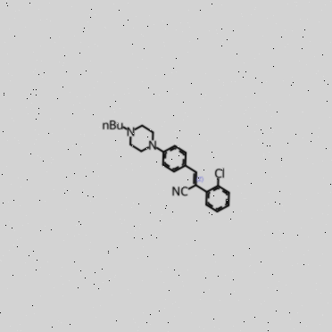 CCCCN1CCN(c2ccc(/C=C(\C#N)c3ccccc3Cl)cc2)CC1